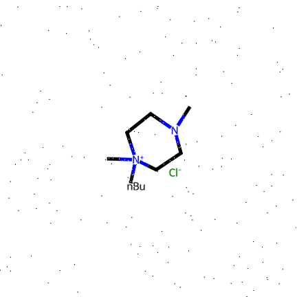 CCCC[N+]1(C)CCN(C)CC1.[Cl-]